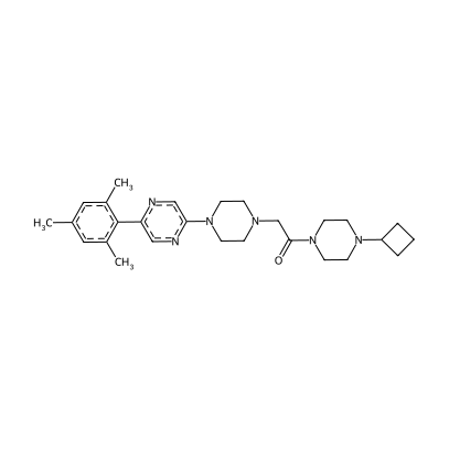 Cc1cc(C)c(-c2cnc(N3CCN(CC(=O)N4CCN(C5CCC5)CC4)CC3)cn2)c(C)c1